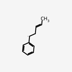 CC=CC[CH]c1ccccc1